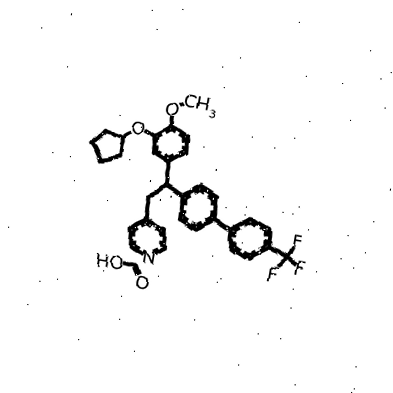 COc1ccc(C(Cc2ccncc2)c2ccc(-c3ccc(C(F)(F)F)cc3)cc2)cc1OC1CCCC1.O=CO